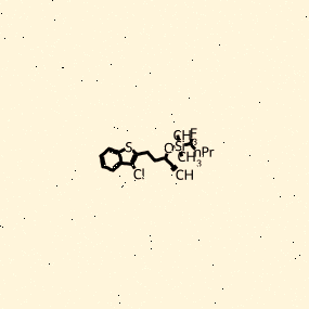 C#CC(CCc1sc2ccccc2c1Cl)O[Si](C)(C)C(F)CCC